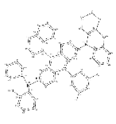 Cc1cc(C)cc(-c2c3cc(N4C5=C(CCC=C5)Oc5ccccc54)ccc3c(-c3cccc4ccccc34)c3cc(N4c5ccccc5Oc5ccccc54)ccc23)c1